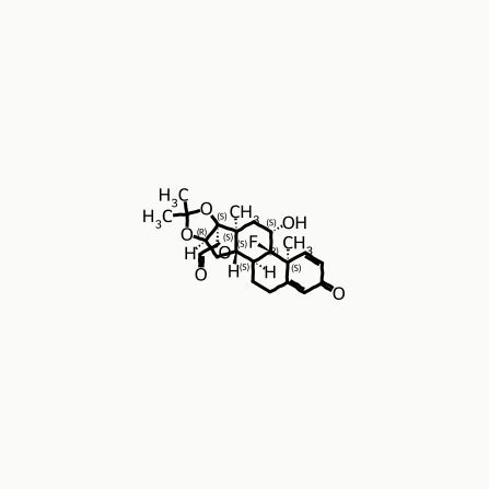 CC1(C)O[C@@H]2C[C@H]3[C@@H]4CCC5=CC(=O)C=C[C@]5(C)[C@@]4(F)[C@@H](O)C[C@]3(C)[C@]2(C(=O)C=O)O1